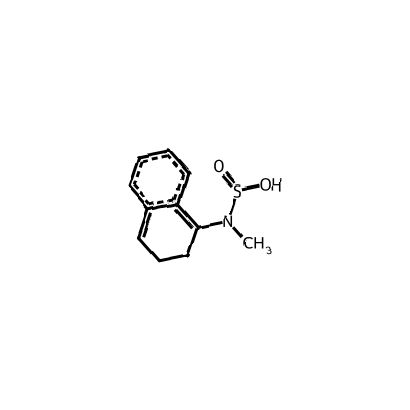 CN(C1=c2ccccc2=CCC1)S(=O)O